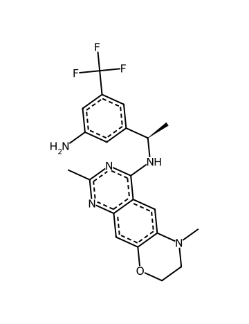 Cc1nc(N[C@H](C)c2cc(N)cc(C(F)(F)F)c2)c2cc3c(cc2n1)OCCN3C